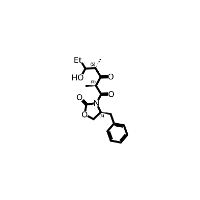 CCC(O)[C@H](C)C(=O)[C@H](C)C(=O)N1C(=O)OC[C@@H]1Cc1ccccc1